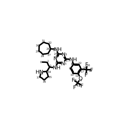 CCC(Nc1nc(Nc2ccc(OC(F)(F)F)c(C(F)(F)F)c2)nc(NC2CCCCCC2)n1)C1CCCN1